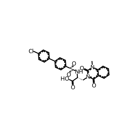 Cn1c(=O)n(C[C@@H](NS(=O)(=O)c2ccc(-c3ccc(Cl)cc3)cc2)C(=O)O)c(=O)c2ccccc21